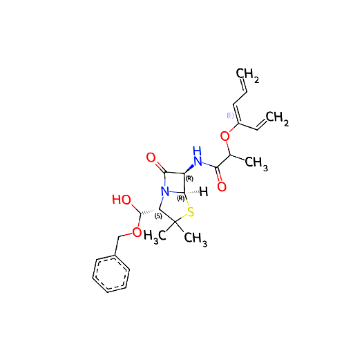 C=C/C=C(\C=C)OC(C)C(=O)N[C@@H]1C(=O)N2[C@@H]1SC(C)(C)[C@@H]2C(O)OCc1ccccc1